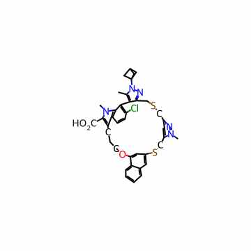 Cc1c2c(nn1C13CC(C1)C3)CSCc1cc(n(C)n1)CSc1cc(c3ccccc3c1)OCCCc1c(C(=O)O)n(C)c3c-2c(Cl)ccc13